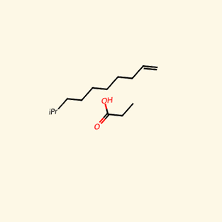 C=CCCCCCCC(C)C.CCC(=O)O